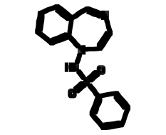 O=S(=O)(NN1C=CN=Cc2ccccc21)c1ccccc1